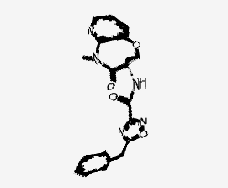 CN1C(=O)[C@@H](NC(=O)c2noc(Cc3ccccc3)n2)COc2cccnc21